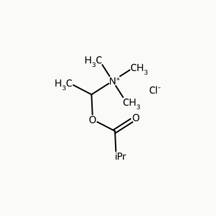 CC(C)C(=O)OC(C)[N+](C)(C)C.[Cl-]